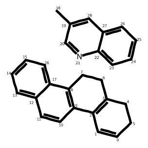 C1=CC2=C(CC1)CCc1c2ccc2ccccc12.Cc1cnc2ccccc2c1